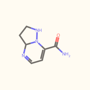 NC(=O)C1=CC=NC2CCNN12